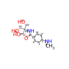 CNc1ccc(C(=O)NC(CO)(CO)CO)cc1